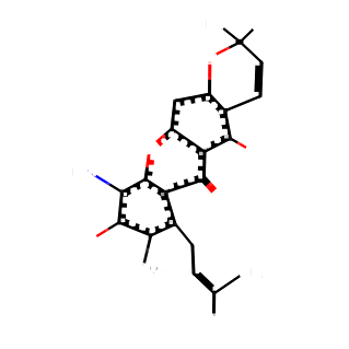 COc1c(O)c(N)c2oc3cc4c(c(O)c3c(=O)c2c1CC=C(C)C)C=CC(C)(C)O4